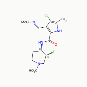 CON=Cc1c(C(=O)N[C@@H]2CCN(C(=O)O)C[C@@H]2F)[nH]c(C)c1Cl